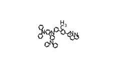 Cc1cc(-c2cnc3c(ccc4cccnc43)c2)ccc1-c1cccc(-n2c3ccc(N(c4ccccc4)c4ccccc4)cc3c3cc(N(c4ccccc4)c4ccccc4)ccc32)c1